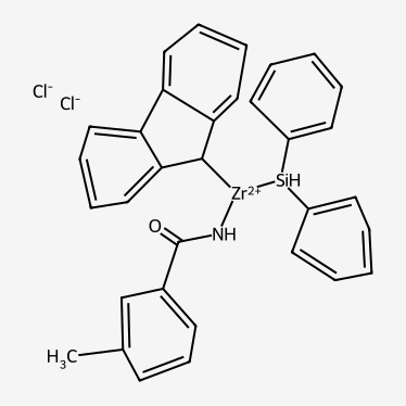 Cc1cccc(C(=O)[NH][Zr+2]([CH]2c3ccccc3-c3ccccc32)[SiH](c2ccccc2)c2ccccc2)c1.[Cl-].[Cl-]